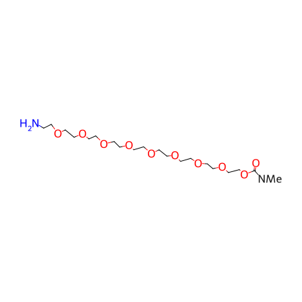 CNC(=O)OCCOCCOCCOCCOCCOCCOCCOCCOCCN